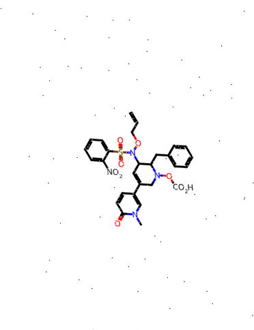 C=CCON(C1C=C(c2ccc(=O)n(C)c2)CN(OC(=O)O)C1Cc1ccccc1)S(=O)(=O)c1ccccc1[N+](=O)[O-]